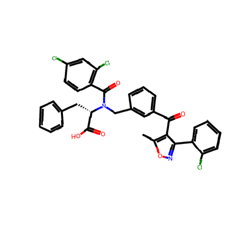 Cc1onc(-c2ccccc2Cl)c1C(=O)c1cccc(CN(C(=O)c2ccc(Cl)cc2Cl)[C@@H](Cc2ccccc2)C(=O)O)c1